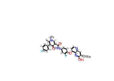 COc1cc2nccc(Oc3ccc(NC(=O)c4cn(C(C)C)c(C)c(-c5ccc(F)cc5)c4=O)cc3F)c2nc1O